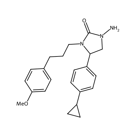 COc1ccc(CCCN2C(=O)N(N)CC2c2ccc(C3CC3)cc2)cc1